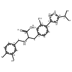 Cc1ccc(CNC(Cc2ccc(-c3noc(C(C)C)n3)c(F)c2)C(=O)O)cc1F